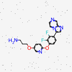 NCCCOc1ccc(Oc2ccc(-c3cnc4cnccn34)c(F)c2F)nc1